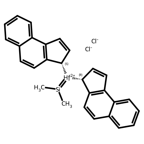 C[Si](C)=[Hf+2]([C@@H]1C=Cc2c1ccc1ccccc21)[C@H]1C=Cc2c1ccc1ccccc21.[Cl-].[Cl-]